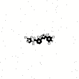 CCN1OC[C@@H](NC(=O)c2cccc(C3=NOC(c4cc(Cl)c(F)c(Cl)c4)(C(F)(F)F)C3)c2C)C1=O